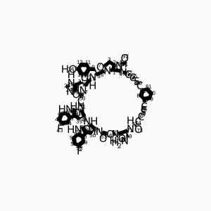 C[C@@]12CCCN1C(=O)[C@H](Cc1ccc(O)cc1)NC(=O)[C@H](Cc1cnc[nH]1)NC(=O)CNC(=O)[C@H](Cc1c[nH]c3ccc(F)cc13)NC(=O)[C@H](Cc1c[nH]c3ccc(F)cc13)NC(=O)CNC(=O)[C@H](CN)NC(=O)CCSCc1cccc(c1)CSCCN/C2=N\C=O